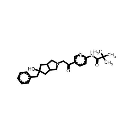 CC(C)(C)C(=O)Nc1ccc(C(=O)CN2CC3CC(O)(Cc4ccccc4)CC3C2)cn1